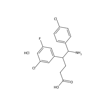 Cl.NC(c1ccc(Cl)cc1)C(CCC(=O)O)c1cc(F)cc(Cl)c1